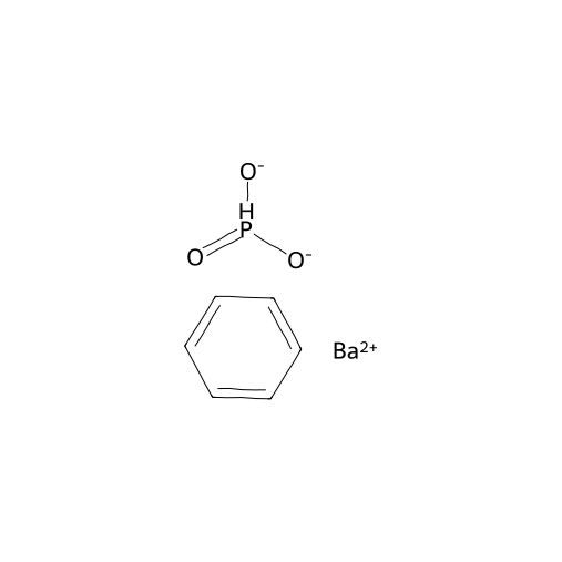 O=[PH]([O-])[O-].[Ba+2].c1ccccc1